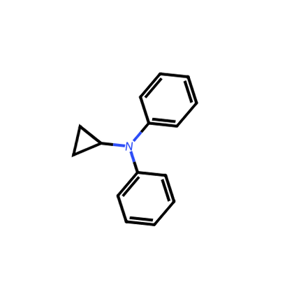 c1ccc(N(c2ccccc2)C2CC2)cc1